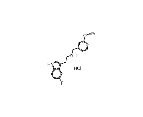 CCCOc1cccc(CNCCc2c[nH]c3ccc(F)cc23)c1.Cl